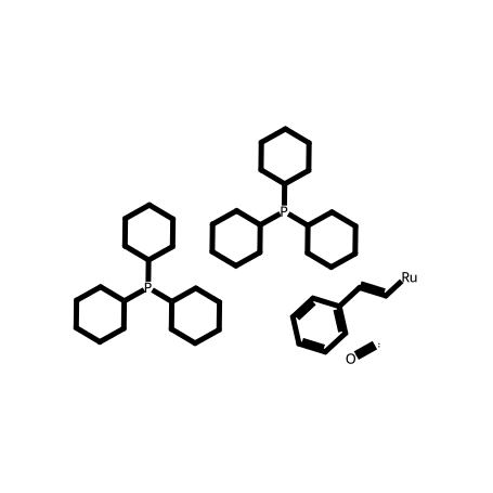 C1CCC(P(C2CCCCC2)C2CCCCC2)CC1.C1CCC(P(C2CCCCC2)C2CCCCC2)CC1.[C]=O.[Ru][CH]=Cc1ccccc1